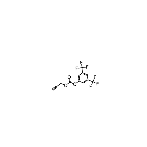 C#CCOC(=O)Oc1cc(C(F)(F)F)cc(C(F)(F)F)c1